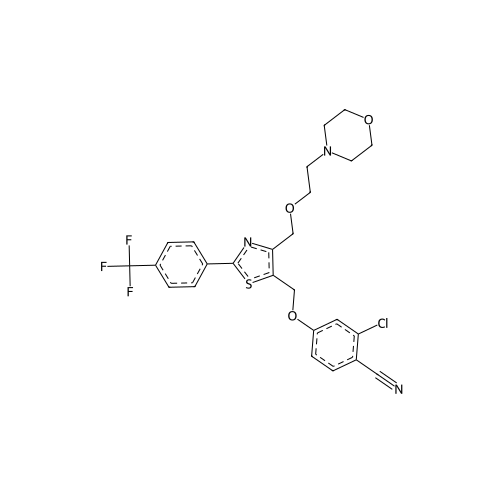 N#Cc1ccc(OCc2sc(-c3ccc(C(F)(F)F)cc3)nc2COCCN2CCOCC2)cc1Cl